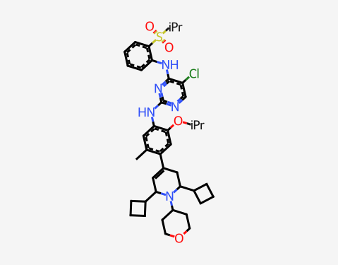 Cc1cc(Nc2ncc(Cl)c(Nc3ccccc3S(=O)(=O)C(C)C)n2)c(OC(C)C)cc1C1=CC(C2CCC2)N(C2CCOCC2)C(C2CCC2)C1